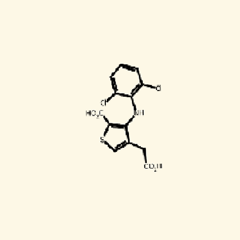 O=C(O)Cc1csc(C(=O)O)c1Nc1c(Cl)cccc1Cl